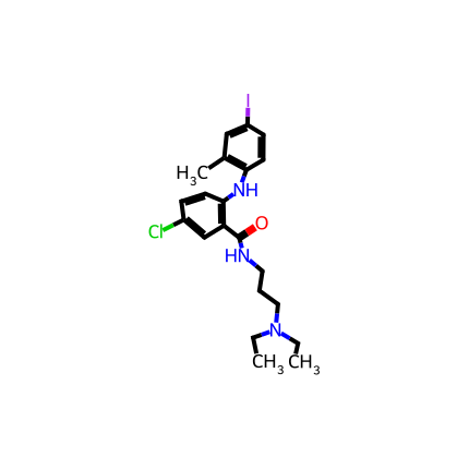 CCN(CC)CCCNC(=O)c1cc(Cl)ccc1Nc1ccc(I)cc1C